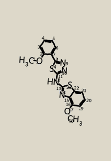 COc1ccccc1-c1nnc(Nc2nc3c(OC)cccc3s2)s1